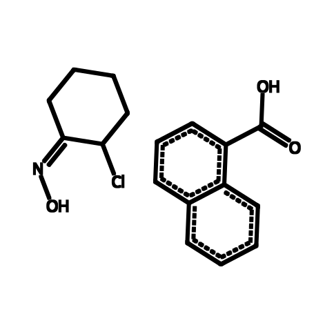 O/N=C1/CCCCC1Cl.O=C(O)c1cccc2ccccc12